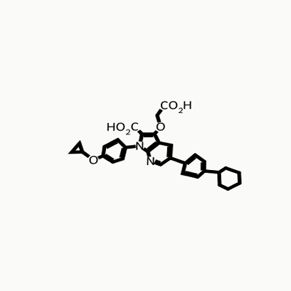 O=C(O)COc1c(C(=O)O)n(-c2ccc(OC3CC3)cc2)c2ncc(-c3ccc(C4CCCCC4)cc3)cc12